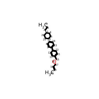 C=CC[C@H]1CC[C@H](c2ccc(-c3ccc(COC/C=C/C)cc3)cc2)CC1